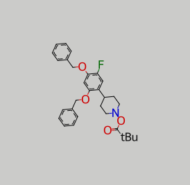 CC(C)(C)C(=O)ON1CCC(c2cc(F)c(OCc3ccccc3)cc2OCc2ccccc2)CC1